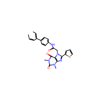 C/C=C\C(=C/C)c1ccc(NC(=O)Cn2c(-c3cccs3)nc3c2c(=O)n(C)c(=O)n3C)cc1